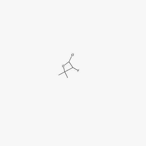 CC1(C)OC(Cl)C1F